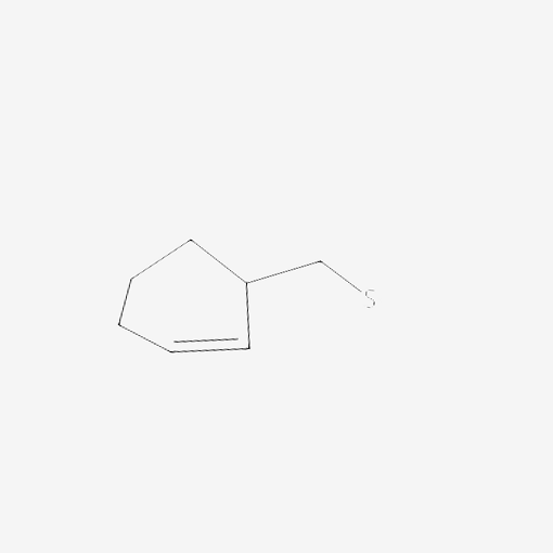 [S]CC1C=CCCC1